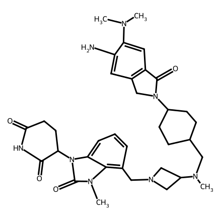 CN(C)c1cc2c(cc1N)CN(C1CCC(CN(C)C3CN(Cc4cccc5c4n(C)c(=O)n5C4CCC(=O)NC4=O)C3)CC1)C2=O